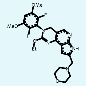 CCOC1=Nc2c(cnc3[nH]c(CN4CCOCC4)cc23)CN1c1c(F)c(OC)cc(OC)c1F